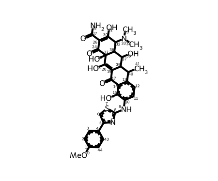 COc1ccc(-c2csc(Nc3ccc4c(c3O)C(=O)C3=C(O)C5(O)C(=O)C(C(N)=O)=C(O)C(N(C)C)C5C(O)C3C4C)n2)cc1